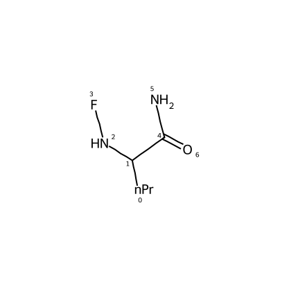 CCCC(NF)C(N)=O